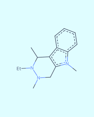 CCN1C(C)c2c(n(C)c3ccccc23)CN1C